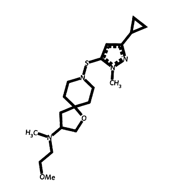 COCCN(C)C1COC2(CCN(Sc3cc(C4CC4)nn3C)CC2)C1